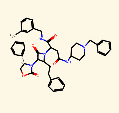 O=C(CC(C(=O)NCc1cccc(C(F)(F)F)c1)N1C(=O)C(N2C(=O)OC[C@@H]2c2ccccc2)C1CCc1ccccc1)NC1CCN(Cc2ccccc2)CC1